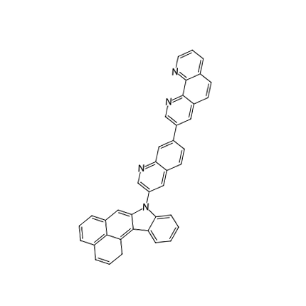 C1=Cc2cccc3cc4c(c(c23)C1)c1ccccc1n4-c1cnc2cc(-c3cnc4c(ccc5cccnc54)c3)ccc2c1